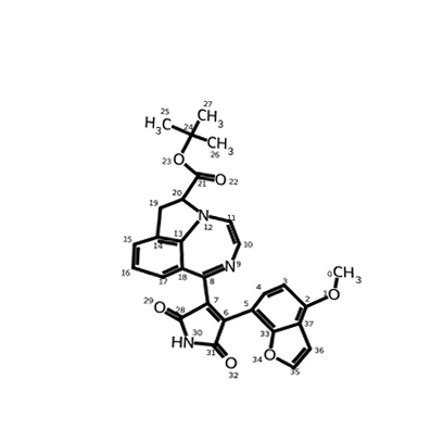 COc1ccc(C2=C(C3=NC=CN4c5c(cccc53)CC4C(=O)OC(C)(C)C)C(=O)NC2=O)c2occc12